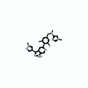 Cc1cc(CN(C)c2cn(C)cn2)cc(F)c1-c1cc2c(-c3cnn(C)c3)n[nH]c2cn1